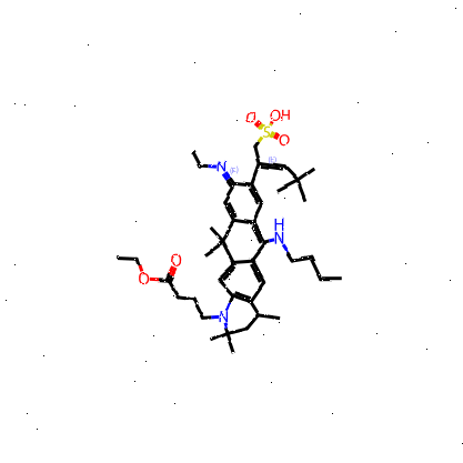 CCCCNC1=C2C=C(/C(=C\C(C)(C)C)CS(=O)(=O)O)/C(=N/CC)C=C2C(C)(C)c2cc3c(cc21)C(C)CC(C)(C)N3CCCC(=O)OCC